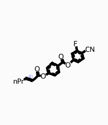 CCC/C=C/C(=O)Oc1ccc(C(=O)Oc2ccc(C#N)c(F)c2)cc1